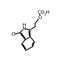 O=C(O)OCCc1[nH]c(Cl)c2ccccc12